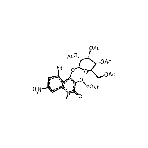 CCCCCCCCOc1c(O[C@@H]2O[C@H](COC(C)=O)[C@@H](OC(C)=O)[C@H](OC(C)=O)[C@H]2OC(C)=O)c2c(CC)cc([N+](=O)[O-])cc2n(C)c1=O